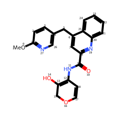 COc1ccc(Cc2cc(C(=O)NC3=C(O)COC=C3)nc3ccccc23)cn1